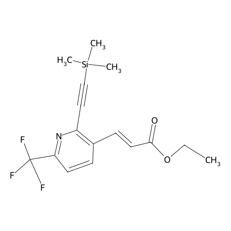 CCOC(=O)/C=C/c1ccc(C(F)(F)F)nc1C#C[Si](C)(C)C